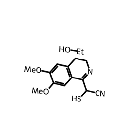 CCO.COc1cc2c(cc1OC)C(C(S)C#N)=NCC2